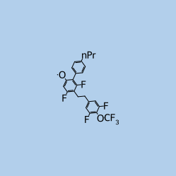 CCCc1ccc(-c2c([O])cc(F)c(CCc3cc(F)c(OC(F)(F)F)c(F)c3)c2F)cc1